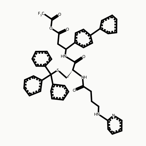 O=C(CCCNc1ccccn1)N[C@H](CSC(c1ccccc1)(c1ccccc1)c1ccccc1)C(=O)NC(CC(=O)OC(=O)C(F)(F)F)c1ccc(-c2ccccc2)cc1